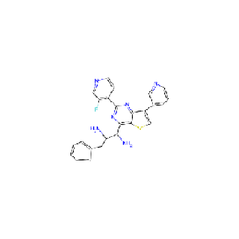 NC(Cc1ccccc1)C(N)c1nc(-c2ccncc2F)nc2c(-c3cccnc3)csc12